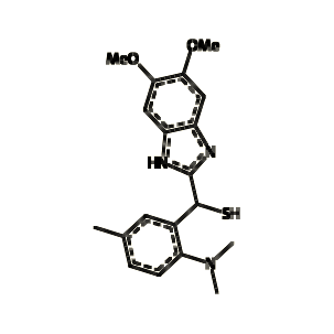 COc1cc2nc(C(S)c3cc(C)ccc3N(C)C)[nH]c2cc1OC